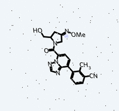 CO/N=C1/CC(CO)N(C(=O)c2ccc(-c3cccc(C#N)c3C)c3ncnn23)C1